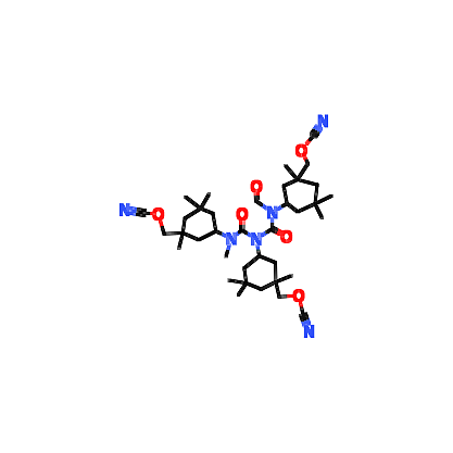 CN(C(=O)N(C(=O)N(C=O)C1CC(C)(C)CC(C)(COC#N)C1)C1CC(C)(C)CC(C)(COC#N)C1)C1CC(C)(C)CC(C)(COC#N)C1